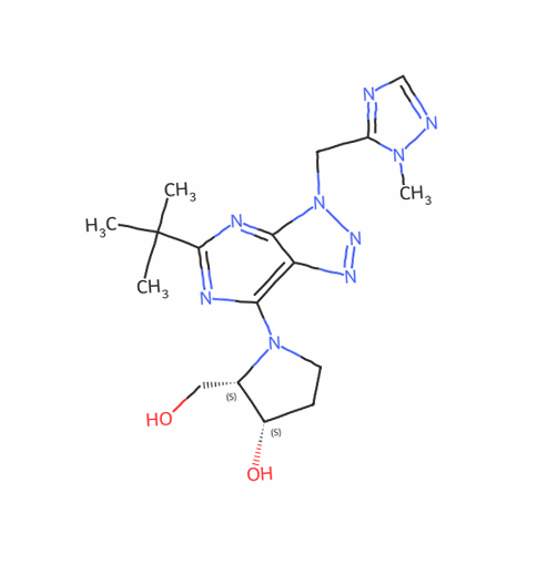 Cn1ncnc1Cn1nnc2c(N3CC[C@H](O)[C@@H]3CO)nc(C(C)(C)C)nc21